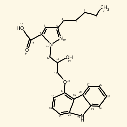 CCCCCc1cc(C(=O)O)n(CC(O)COc2cccc3[nH]c4ccccc4c23)n1